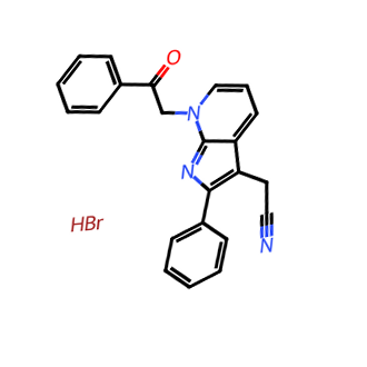 Br.N#CCc1c2cccn(CC(=O)c3ccccc3)c-2nc1-c1ccccc1